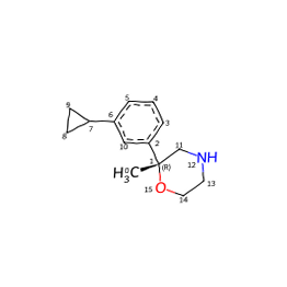 C[C@@]1(c2cccc(C3CC3)c2)CNCCO1